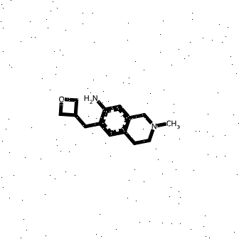 CN1CCc2cc(CC3COC3)c(N)cc2C1